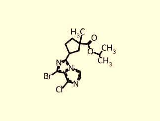 CC(C)OC(=O)C1(C)CCC(c2nc(Br)c3c(Cl)nccn23)C1